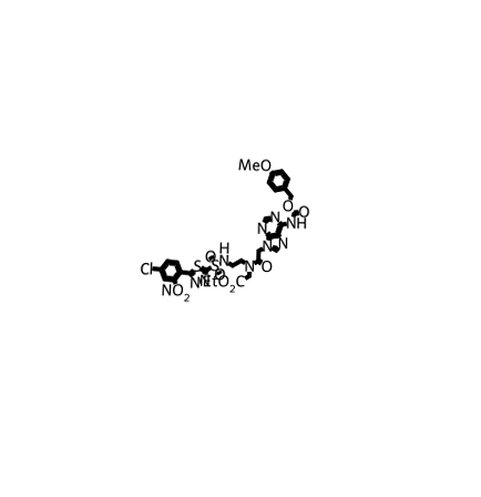 CCOC(=O)CN(CCNS(=O)(=O)c1nnc(-c2ccc(Cl)cc2[N+](=O)[O-])s1)C(=O)Cn1cnc2c(NC(=O)OCc3ccc(OC)cc3)ncnc21